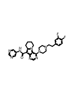 O=C(Nc1cncnc1)c1c2n(c3c(N4CCN(CCc5ccc(F)c(F)c5)CC4)ncnc13)CCCC2